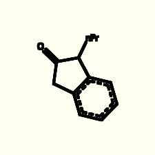 CCCC1C(=O)Cc2ccccc21